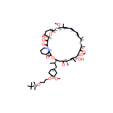 CO[C@H]1C[C@@H]2CC[C@@H](C)[C@@](O)(O2)C(=O)C(=O)N2CCCC[C@H]2C(=O)O[C@H](C(C)C[C@@H]2CC[C@@H](OCCCO[Si](C)(C)C(C)(C)C)[C@H](OC)C2)CC(=O)[C@H](C)/C=C(\C)[C@@H](O)[C@@H](OC)C(=O)[C@H](C)C[C@H](C)/C=C/C=C/C=C/1C